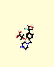 CC(C)(Oc1cc(C2(F)COC2)ccc1CN1CCNCC1)C(=O)O